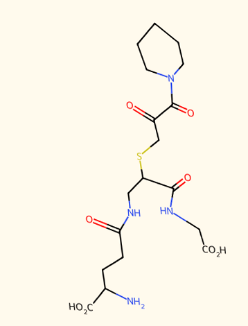 NC(CCC(=O)NCC(SCC(=O)C(=O)N1CCCCC1)C(=O)NCC(=O)O)C(=O)O